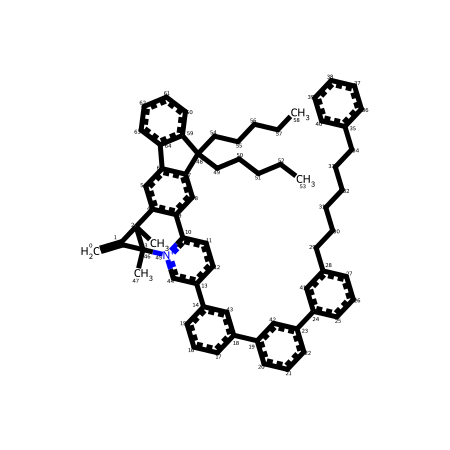 C=C1C2(C)c3cc4c(cc3-c3ccc(-c5cccc(-c6cccc(-c7cccc(CCCCCCc8ccccc8)c7)c6)c5)c[n+]3C12C)C(CCCCC)(CCCCC)c1ccccc1-4